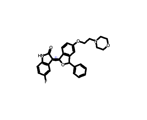 O=C1Nc2ccc(F)cc2/C1=C1\OC(c2ccccc2)c2cc(OCCN3CCOCC3)ccc21